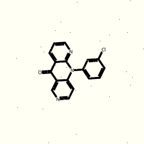 O=c1c2cnccc2n(-c2cccc(Cl)c2)c2ncccc12